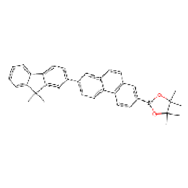 CC1(C)c2ccccc2-c2ccc(-c3ccc4c(ccc5cc(B6OC(C)(C)C(C)(C)O6)ccc54)c3)cc21